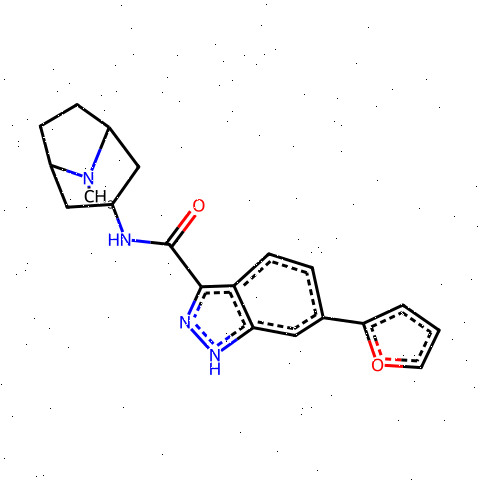 CN1C2CCC1CC(NC(=O)c1n[nH]c3cc(-c4ccco4)ccc13)C2